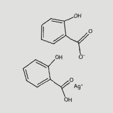 O=C(O)c1ccccc1O.O=C([O-])c1ccccc1O.[Ag+]